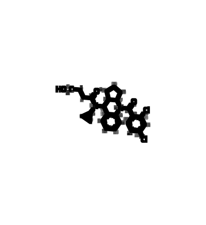 O=C(O)CCC(=O)N(C1CC1)C1c2ccccc2N(C(=O)c2ccc(Cl)cc2Cl)C2CCCC21